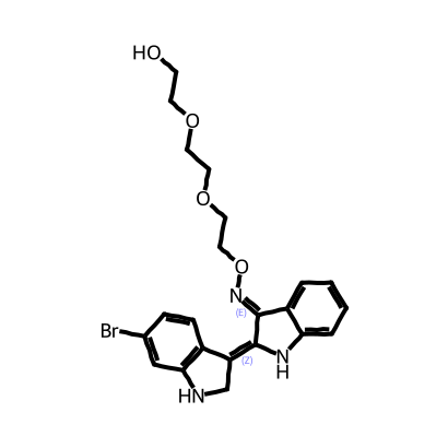 OCCOCCOCCO/N=C1/C(=C2/CNc3cc(Br)ccc32)Nc2ccccc21